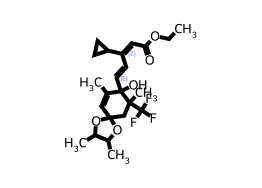 CCOC(=O)/C=C(\C=C\C1(O)C(C)=CC2(CC1(C)C(F)(F)F)OC(C)C(C)O2)C1CC1